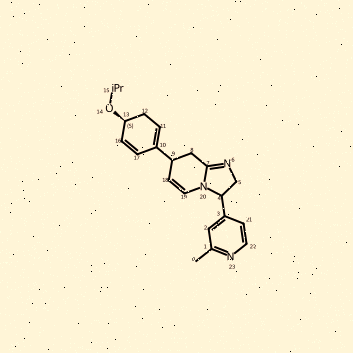 Cc1cc(C2CN=C3CC(C4=CC[C@H](OC(C)C)C=C4)C=CN32)ccn1